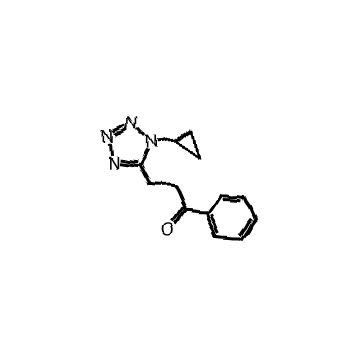 O=C(CCc1nnnn1C1CC1)c1ccccc1